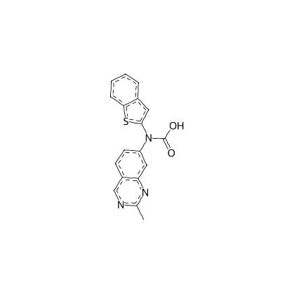 Cc1ncc2ccc(N(C(=O)O)c3cc4ccccc4s3)cc2n1